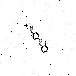 O/N=C/c1ccc(OCc2ccccc2Cl)cn1